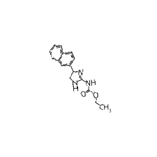 CCOC(=O)NC1=NC(c2ccc3ccccc3c2)CN1